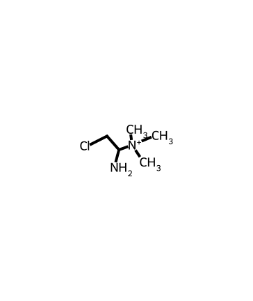 C[N+](C)(C)C(N)CCl